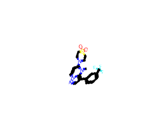 CN1c2c(-c3cccc(C(F)(F)F)c3)cnn2C=CC1N1CCS(=O)(=O)CC1